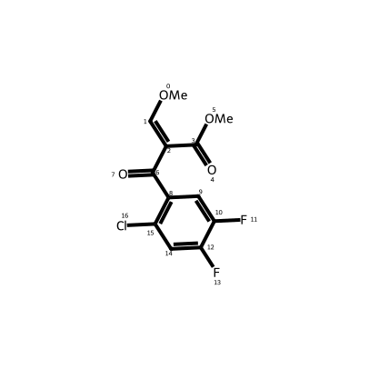 COC=C(C(=O)OC)C(=O)c1cc(F)c(F)cc1Cl